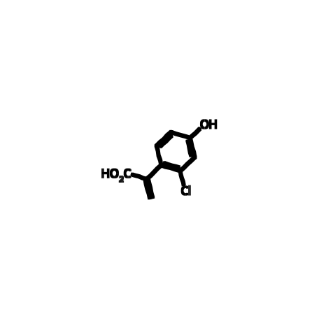 C=C(C(=O)O)c1ccc(O)cc1Cl